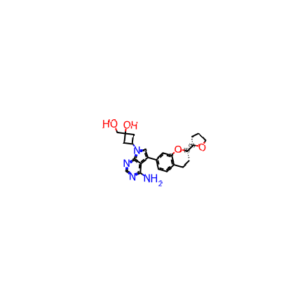 Nc1ncnc2c1c(-c1ccc3c(c1)O[C@H]([C@@H]1CCCO1)CC3)cn2C1CC(O)(CO)C1